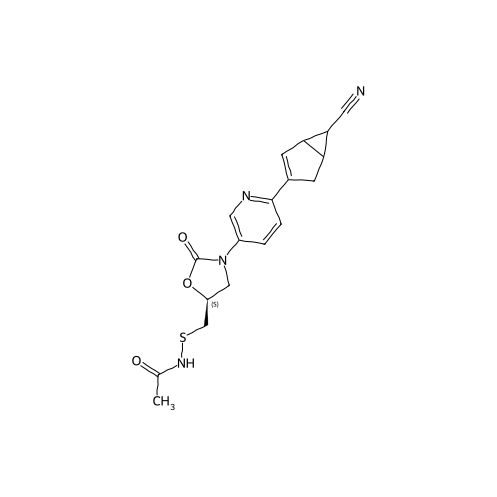 CC(=O)NSC[C@@H]1CN(c2ccc(C3=CC4C(C#N)C4C3)nc2)C(=O)O1